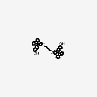 Oc1ccc2cc(C3(c4ccc(OCCCCCCOc5ccc(C6(c7ccc8cc(O)ccc8c7)c7ccccc7-c7ccccc76)cc5)cc4)c4ccccc4-c4ccccc43)ccc2c1